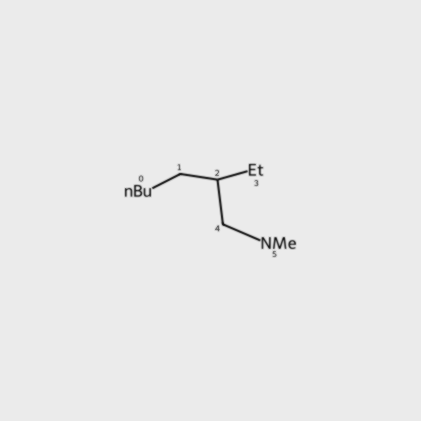 CCCCCC(CC)CNC